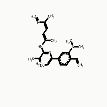 C=Cc1ccc(C(=C/C)/N=C(/N/C(C)=C/C=C(/C)N=C)C(=C)C)cc1N(C)C